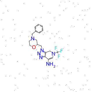 NC1=CN(C(F)(F)F)Cc2c1nnn2CC1CN(Cc2ccccc2)CCO1